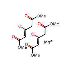 COC(=O)C=C([O-])CC(=O)OC.COC(=O)C=C([O-])CC(=O)OC.[Mg+2]